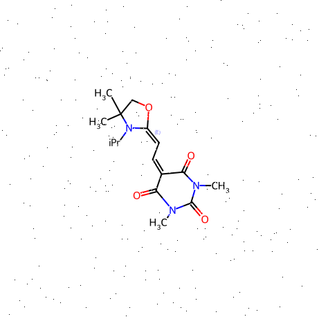 CC(C)N1/C(=C\C=C2C(=O)N(C)C(=O)N(C)C2=O)OCC1(C)C